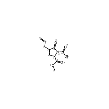 C=CCC1CC(C(=O)OC)N(C(=O)O)C1=O